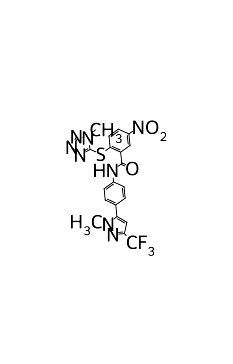 Cn1nc(C(F)(F)F)cc1-c1ccc(NC(=O)c2cc([N+](=O)[O-])ccc2Sc2nnnn2C)cc1